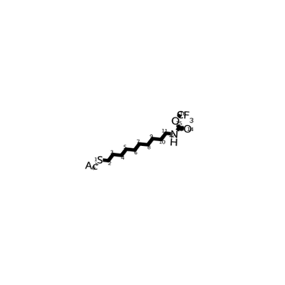 CC(=O)SCCCCCCCCCCNC(=O)OC(F)(F)F